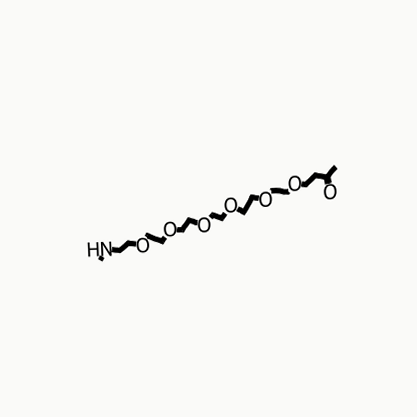 CNCCOCCOCCOCCOCCOCCOCCC(C)=O